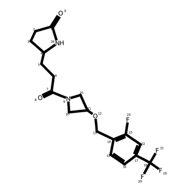 O=C1CCC(CCC(=O)N2CC(OCc3ccc(C(F)(F)F)cc3F)C2)N1